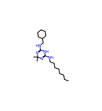 CCCCCCCCNC1=NC(C)(C)N=C(NCC2CCCCC2)N1